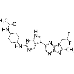 CC(=O)N[C@H]1CC[C@@H](Nc2ncc3c(-c4cnc5nc(C)n(CC(F)F)c5n4)c[nH]c3n2)CC1